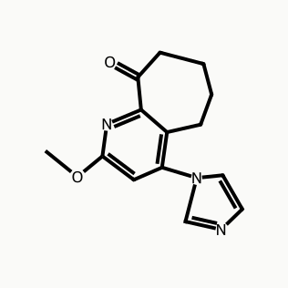 COc1cc(-n2ccnc2)c2c(n1)C(=O)CCCC2